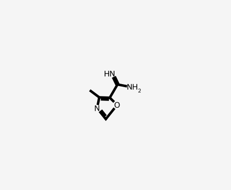 Cc1ncoc1C(=N)N